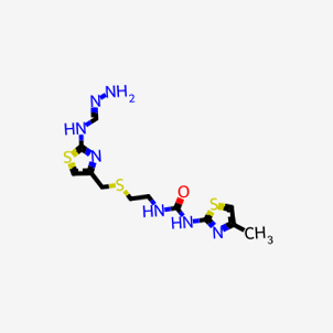 Cc1csc(NC(=O)NCCSCc2csc(NC=NN)n2)n1